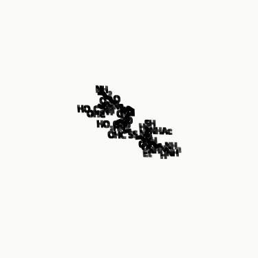 CCNC(=O)C(CCCNC(=N)N)NC(=O)C(CSSCC(C=O)NC(=O)C(CC(=O)O)NC(=O)C1CCCN1C(=O)CNC(=O)C(CCCCN)NC(=O)C(CC(=O)O)NC=O)NC(=O)C(CS)NC(C)=O